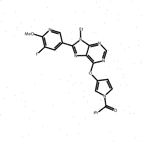 CCn1c(-c2cnc(OC)c(F)c2)nc2c(Oc3ccn(C(=O)C(C)C)c3)ncnc21